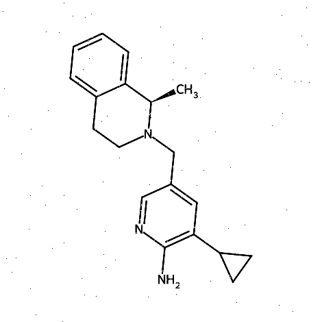 C[C@@H]1c2ccccc2CCN1Cc1cnc(N)c(C2CC2)c1